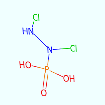 O=P(O)(O)N(Cl)NCl